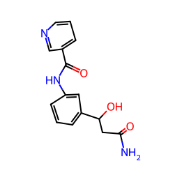 NC(=O)CC(O)c1cccc(NC(=O)c2cccnc2)c1